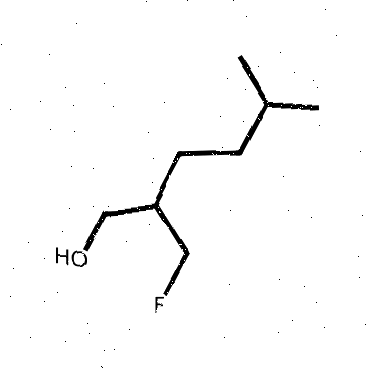 CC(C)CCC(CO)CF